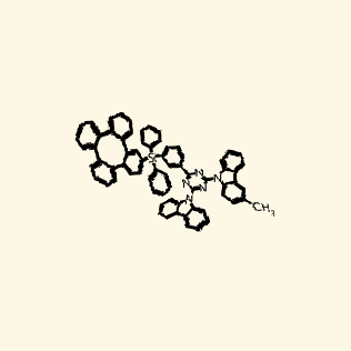 Cc1ccc2c(c1)c1ccccc1n2-c1nc(-c2cccc([Si](c3ccccc3)(c3ccccc3)c3ccc4c(c3)-c3ccccc3-c3ccccc3-c3ccccc3-4)c2)nc(-n2c3ccccc3c3ccccc32)n1